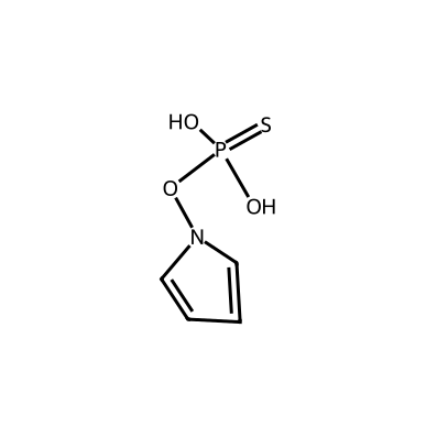 OP(O)(=S)On1cccc1